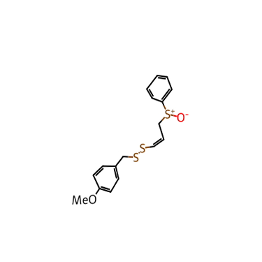 COc1ccc(CSS/C=C\C[S+]([O-])c2ccccc2)cc1